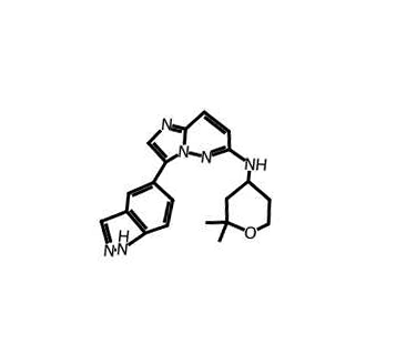 CC1(C)CC(Nc2ccc3ncc(-c4ccc5[nH]ncc5c4)n3n2)CCO1